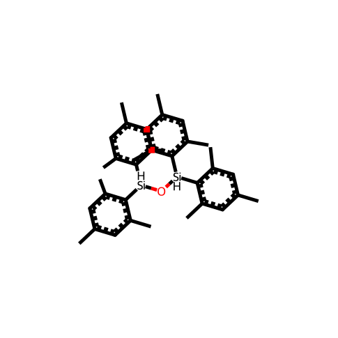 Cc1cc(C)c([SiH](O[SiH](c2c(C)cc(C)cc2C)c2c(C)cc(C)cc2C)c2c(C)cc(C)cc2C)c(C)c1